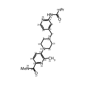 CCCC(=O)Nc1cc(CN2CCN(c3ccc(C(=O)NC)nc3C)CC2)ccn1